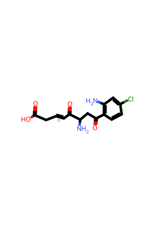 Nc1cc(Cl)ccc1C(=O)CC(N)C(=O)/C=C/CC(=O)O